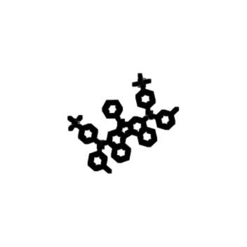 Cc1cccc(N(c2ccc([Si](C)(C)C)cc2)c2cc3c(c4ccccc24)c2c4ccccc4c(N(c4ccc([Si](C)(C)C)cc4)c4cccc(C)c4)cc2n3-c2ccccc2)c1